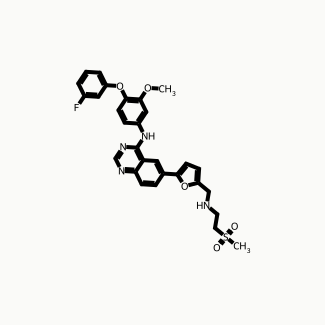 COc1cc(Nc2ncnc3ccc(-c4ccc(CNCCS(C)(=O)=O)o4)cc23)ccc1Oc1cccc(F)c1